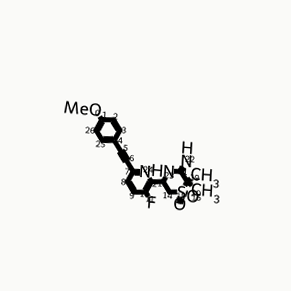 COc1ccc(C#Cc2ccc(F)c(C3CS(=O)(=O)C(C)(C)C(=N)N3)n2)cc1